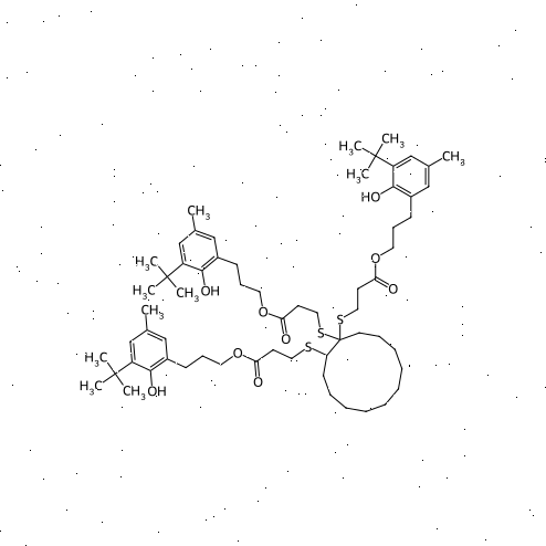 Cc1cc(CCCOC(=O)CCSC2CCCCCCCCCCC2(SCCC(=O)OCCCc2cc(C)cc(C(C)(C)C)c2O)SCCC(=O)OCCCc2cc(C)cc(C(C)(C)C)c2O)c(O)c(C(C)(C)C)c1